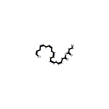 CC/C=C\C/C=C\C/C=C\C/C=C\C/C=C\C/C=C\CC(=O)OC(=O)CCC(C)=O